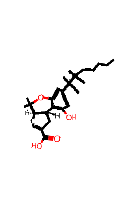 CCCCCC(C)(C)C(C)(C)c1cc(O)c2c(c1)OC(C)(C)[C@@H]1CC=C(C(=O)O)C[C@@H]21